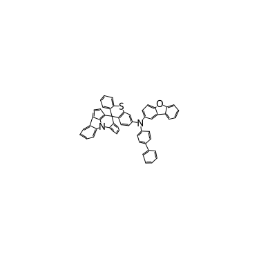 c1ccc(-c2ccc(N(c3ccc4c(c3)Sc3ccccc3C43c4ccccc4-n4c5ccccc5c5cccc3c54)c3ccc4oc5ccccc5c4c3)cc2)cc1